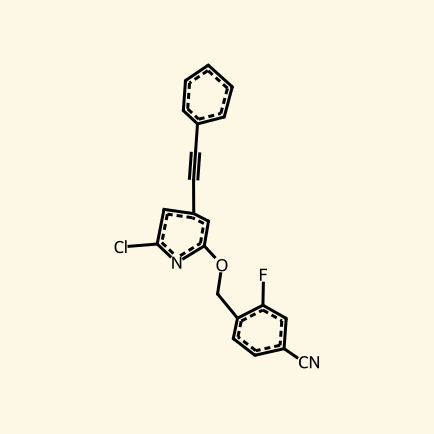 N#Cc1ccc(COc2cc(C#Cc3ccccc3)cc(Cl)n2)c(F)c1